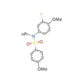 CCCN(c1ccc(OC)c(F)c1)S(=O)(=O)c1ccc(OC)cc1